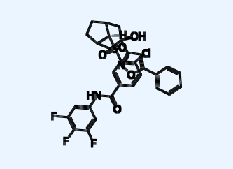 O=C(Nc1cc(F)c(F)c(F)c1)c1ccc(Cl)c(S(=O)(=O)[C@H]2C3CCC2C[C@](O)(c2cc(-c4ccccc4)on2)C3)c1